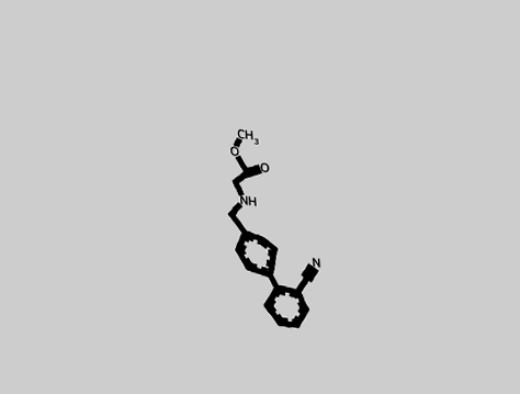 COC(=O)CNCc1ccc(-c2ccccc2C#N)cc1